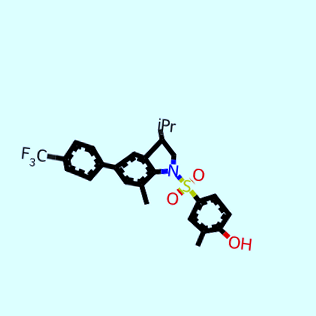 Cc1cc(S(=O)(=O)N2CC(C(C)C)c3cc(-c4ccc(C(F)(F)F)cc4)cc(C)c32)ccc1O